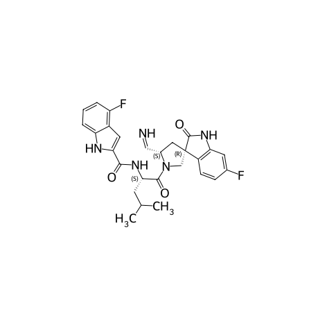 CC(C)C[C@H](NC(=O)c1cc2c(F)cccc2[nH]1)C(=O)N1C[C@]2(C[C@H]1C=N)C(=O)Nc1cc(F)ccc12